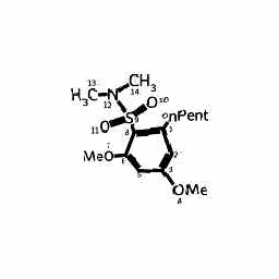 CCCCCc1cc(OC)cc(OC)c1S(=O)(=O)N(C)C